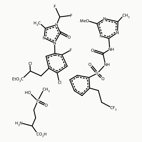 CCOC(=O)C(Cl)Cc1cc(-n2nc(C)n(C(F)F)c2=O)c(F)cc1Cl.COc1nc(C)nc(NC(=O)NS(=O)(=O)c2ccccc2CCC(F)(F)F)n1.CP(=O)(O)CCC(N)C(=O)O